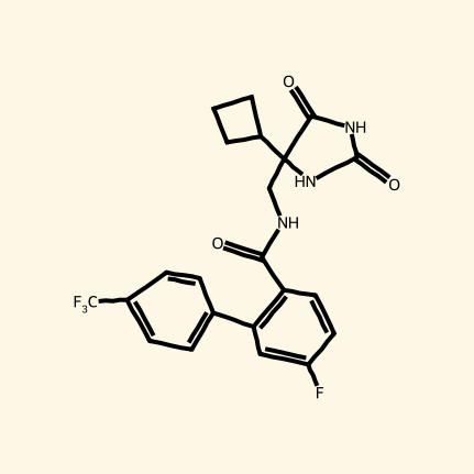 O=C1NC(=O)C(CNC(=O)c2ccc(F)cc2-c2ccc(C(F)(F)F)cc2)(C2CCC2)N1